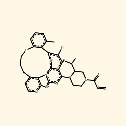 C=CC(=O)N1CCN(c2nc(=O)n3c4nc(c(F)cc24)-c2c(F)cccc2OCCCc2ccnc(C(C)C)c2-3)C(C(F)F)C1